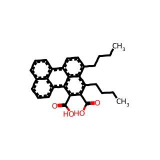 CCCCc1ccc2c3cccc4cccc(c5c(C(=O)O)c(C(=O)O)c(CCCC)c1c25)c43